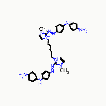 Cn1cc[n+](CCCCCC[n+]2ccn(C)c2/N=N/c2ccc(Nc3ccc(N)cc3)cc2)c1/N=N/c1ccc(Nc2ccc(N)cc2)cc1